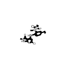 CCc1ccc(Nc2cc(Cl)nc3[nH]n(C)c(=O)c23)c(N(C)S(C)(=O)=O)c1